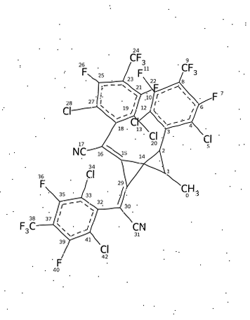 CC1C(c2c(Cl)c(F)c(C(F)(F)F)c(F)c2Cl)C12C(=C(/C#N)c1c(Cl)c(F)c(C(F)(F)F)c(F)c1Cl)/C2=C(/C#N)c1c(Cl)c(F)c(C(F)(F)F)c(F)c1Cl